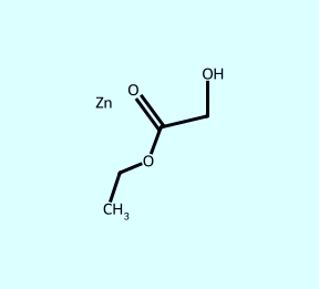 CCOC(=O)CO.[Zn]